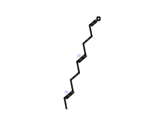 C/C=C/CC/C=C/CCC=O